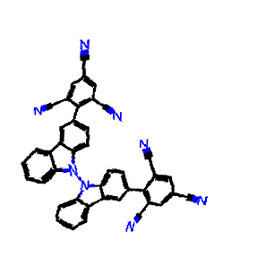 N#Cc1cc(C#N)c(-c2ccc3c(c2)c2ccccc2n3-n2c3ccccc3c3cc(-c4c(C#N)cc(C#N)cc4C#N)ccc32)c(C#N)c1